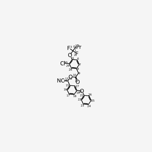 CC(C)C(F)(F)Oc1ccc(CC(=O)OC(C#N)c2cccc(Oc3ccccc3)c2)cc1Cl